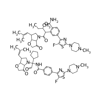 CC(C)=CC1CN(C(C=O)(NC(=O)c2ccc(-c3nc(N4CCN(C)CC4)sc3F)cc2)C2CCCC2)C2C(=O)COC12.CCC(C)C(C(=O)N1CC(C=C(C)C)C2OCC(=O)C21)c1cc(-c2nc(N3CCN(C)CC3)sc2F)ccc1C(N)=O